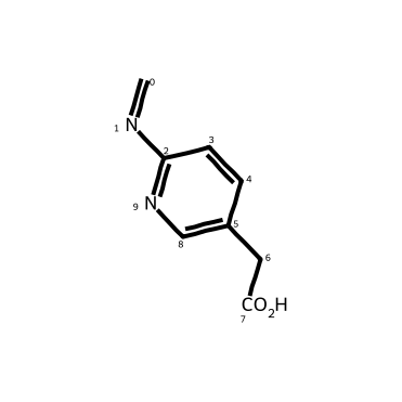 C=Nc1ccc(CC(=O)O)cn1